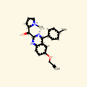 C#CCOc1ccc2nc(C(=O)c3cccn3C)nc(-c3ccc(C(C)C)cc3)c2c1